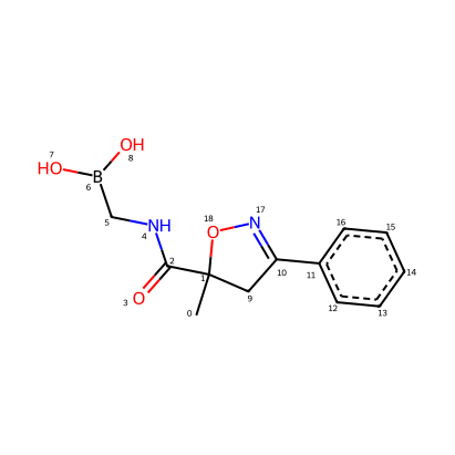 CC1(C(=O)NCB(O)O)CC(c2ccccc2)=NO1